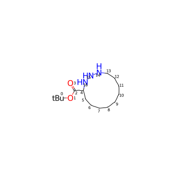 CC(C)(C)OC(=O)C1CCCCCCCCCNNN1